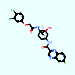 O=C(COc1ccc(Cl)c(Cl)c1)NC12CCC(NC(=O)c3cnc4cc(F)ccc4n3)(CC1)C[C@@H]2O